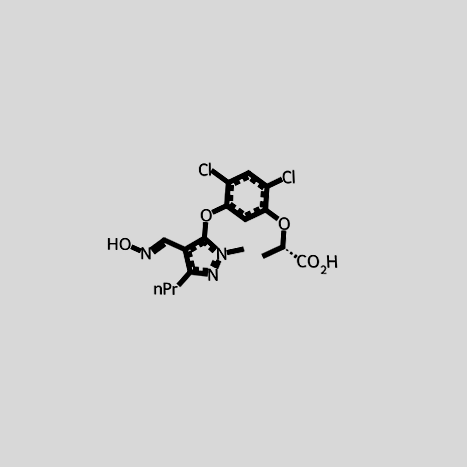 CCCc1nn(C)c(Oc2cc(O[C@@H](C)C(=O)O)c(Cl)cc2Cl)c1C=NO